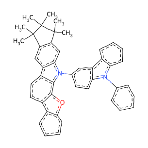 CC1(C)c2cc3c4ccc5c6ccccc6oc5c4n(-c4ccc5c(c4)c4ccccc4n5-c4ccccc4)c3cc2C(C)(C)C1(C)C